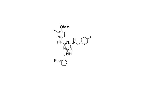 CCN1CCCC1CNc1nc(NCc2ccc(F)cc2)nc(Nc2ccc(OC)c(F)c2)n1